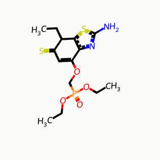 CCOP(=O)(COC1=CC(=S)C(CC)c2sc(N)nc21)OCC